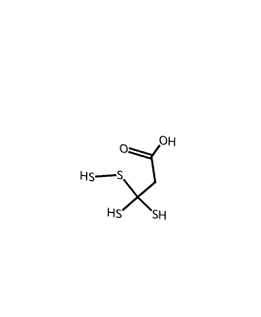 O=C(O)CC(S)(S)SS